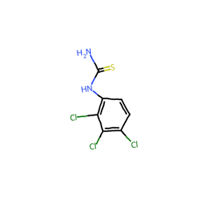 NC(=S)Nc1ccc(Cl)c(Cl)c1Cl